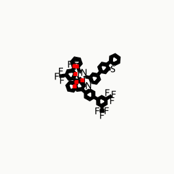 FC(F)(F)c1cc(-c2ccc3c4ccc(-c5cc(C(F)(F)F)cc(C(F)(F)F)c5)cc4n(-c4ccc(-c5ccc6c(c5)sc5ccccc56)cc4-c4nc(-c5ccccc5)nc(-c5ccccc5)n4)c3c2)cc(C(F)(F)F)c1